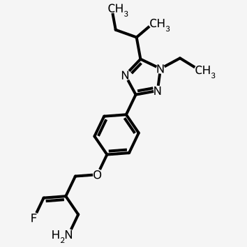 CCC(C)c1nc(-c2ccc(OC/C(=C/F)CN)cc2)nn1CC